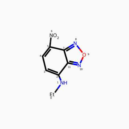 CCNc1ccc([N+](=O)[O-])c2nonc12